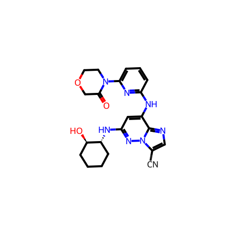 N#Cc1cnc2c(Nc3cccc(N4CCOCC4=O)n3)cc(N[C@@H]3CCCC[C@H]3O)nn12